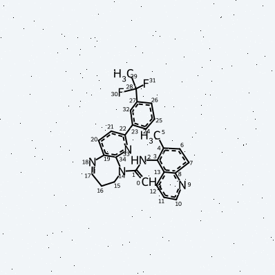 C=C(Nc1c(C)ccc2ncccc12)N1CCC=Nc2ccc(-c3cccc(C(C)(F)F)c3)nc21